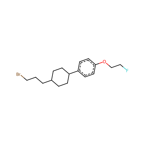 FCCOc1ccc(C2CCC(CCCBr)CC2)cc1